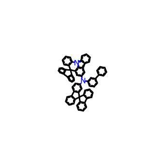 c1ccc(-c2cccc(N(c3ccc4c(c3)C3(c5ccccc5-c5ccccc53)c3ccccc3-4)c3cc4c5c(c3)c3ccccc3n5-c3ccccc3C43c4ccccc4-c4ccccc43)c2)cc1